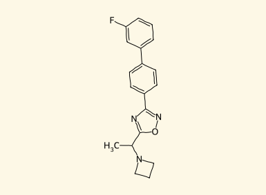 CC(c1nc(-c2ccc(-c3cccc(F)c3)cc2)no1)N1CCC1